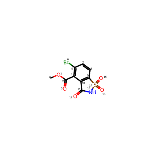 COC(=O)c1c(Br)ccc2c1C(=O)NS2(=O)=O